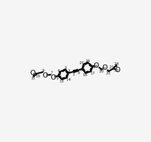 C(#Cc1ccc(OCOCC2CO2)cc1)c1ccc(OCOCC2CO2)cc1